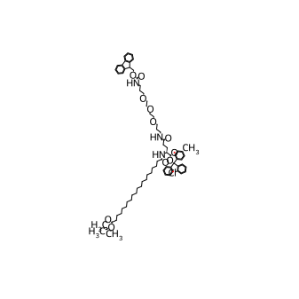 Cc1ccc(C(OC(=O)[C@H](CCC(=O)NCCCOCCOCCOCCCNC(=O)OCC2c3ccccc3-c3ccccc32)NC(=O)CCCCCCCCCCCCCCCCCCC(=O)OC(C)(C)C)(c2ccccc2)c2ccccc2Cl)cc1